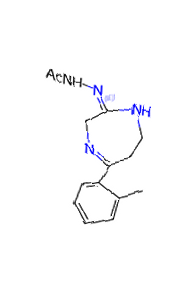 CC(=O)N/N=C1\CN=C(c2ccccc2C)CCN1